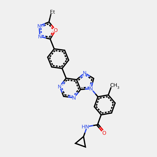 CCc1nnc(-c2ccc(-c3ncnc4c3ncn4-c3cc(C(=O)NC4CC4)ccc3C)cc2)o1